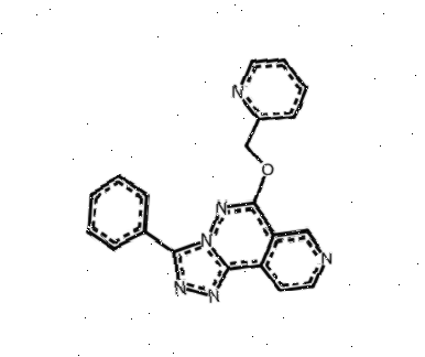 c1ccc(-c2nnc3c4ccncc4c(OCc4ccccn4)nn23)cc1